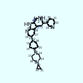 C=C(/C=c1\c(=C/N)[nH]c2ncc(-c3ccc(N4CCN(C5CC5)CC4)cc3)cc12)c1cccnc1